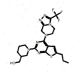 CCCc1cc2c(N3CCn4c(nnc4C(F)(F)F)C3)nc(N3CCCC(CO)C3)nc2s1